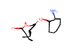 CC1(C)C[C@@H](OC2CCCCC2N)OC1=O